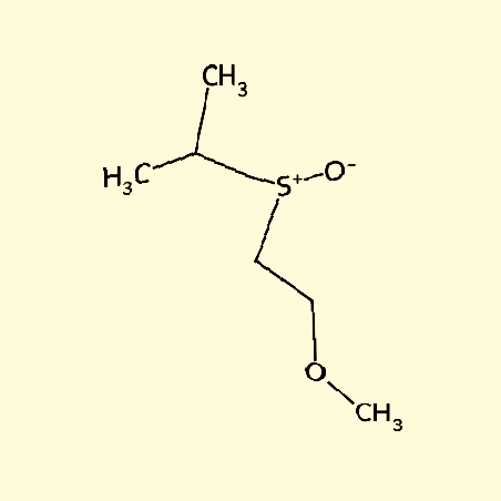 COCC[S+]([O-])C(C)C